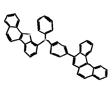 c1ccc(N(c2ccc(-c3cc4ccc5ccccc5c4c4ccccc34)cc2)c2cccc3c2sc2c4ccccc4ccc32)cc1